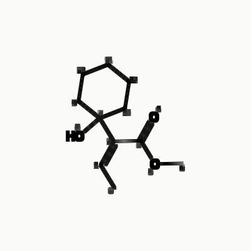 CC=C(C(=O)OC)C1(O)CCCCC1